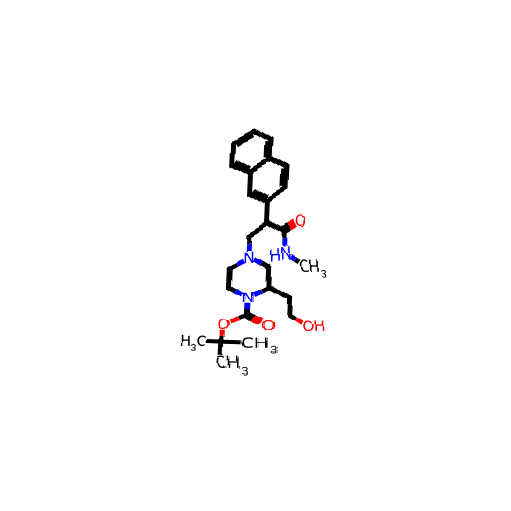 CNC(=O)C(CN1CCN(C(=O)OC(C)(C)C)C(CCO)C1)c1ccc2ccccc2c1